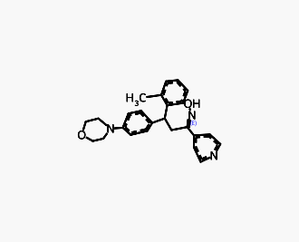 Cc1ccccc1C(C/C(=N\O)c1ccncc1)c1ccc(N2CCOCC2)cc1